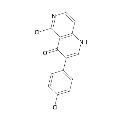 O=c1c(-c2ccc(Cl)cc2)c[nH]c2ccnc(Cl)c12